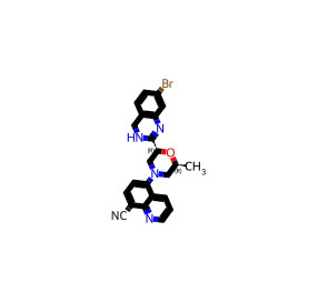 C[C@@H]1CN(c2ccc(C#N)c3ncccc23)C[C@H](C2=Nc3cc(Br)ccc3CN2)O1